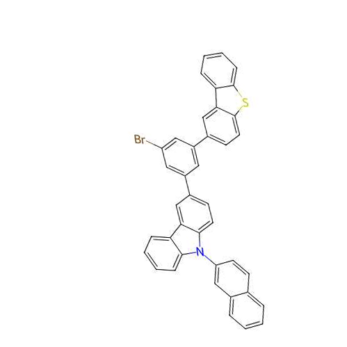 Brc1cc(-c2ccc3sc4ccccc4c3c2)cc(-c2ccc3c(c2)c2ccccc2n3-c2ccc3ccccc3c2)c1